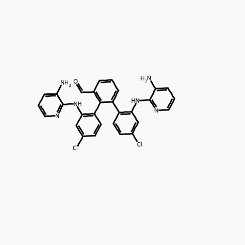 Nc1cccnc1Nc1cc(Cl)ccc1-c1cccc(C=O)c1-c1ccc(Cl)cc1Nc1ncccc1N